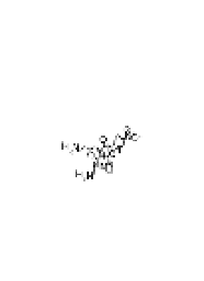 NCCCC[C@@H](C(=O)Nc1ccc([N+](=O)[O-])cc1)N(C(=O)CCCN)C(=O)[C@@H]1CCCN1